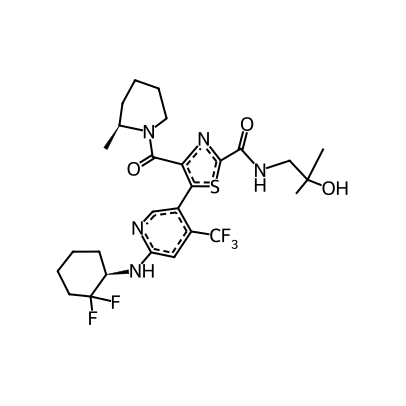 C[C@H]1CCCCN1C(=O)c1nc(C(=O)NCC(C)(C)O)sc1-c1cnc(N[C@@H]2CCCCC2(F)F)cc1C(F)(F)F